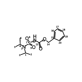 CC(C)N(C(C)C)S(=O)(=O)NC(=O)OCc1ccccc1